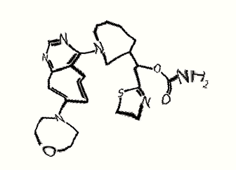 NC(=O)OC(C1=NCCS1)C1CCCN(c2ncnc3cc(N4CCOCC4)ccc23)C1